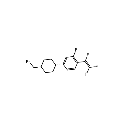 FC(F)=C(F)c1ccc([C@H]2CC[C@H](CBr)CC2)cc1F